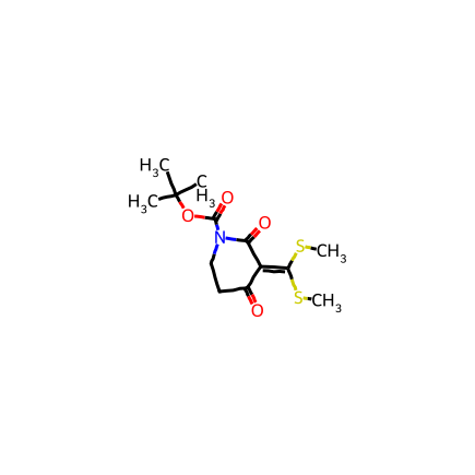 CSC(SC)=C1C(=O)CCN(C(=O)OC(C)(C)C)C1=O